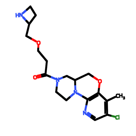 Cc1c(Cl)cnc2c1OCC1CN(C(=O)CCOCC3CCN3)CCN21